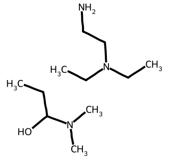 CCC(O)N(C)C.CCN(CC)CCN